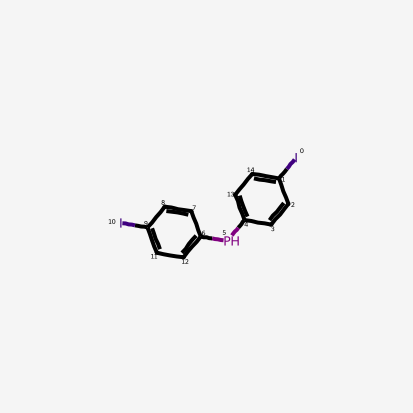 Ic1ccc(Pc2ccc(I)cc2)cc1